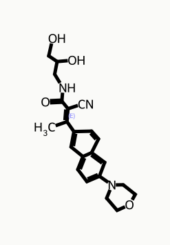 C/C(=C(/C#N)C(=O)NCC(O)CO)c1ccc2cc(N3CCOCC3)ccc2c1